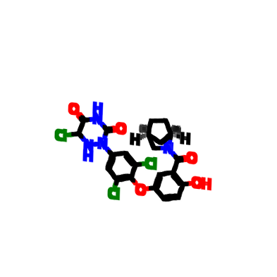 O=C1NC(=O)N(c2cc(Cl)c(Oc3ccc(O)c(C(=O)N4C[C@H]5CC[C@@H]4C5)c3)c(Cl)c2)NC1Cl